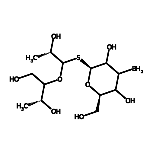 BC1C(O)[C@@H](CO)O[C@@H](SC(OC(CO)[C@@H](C)O)[C@H](C)O)C1O